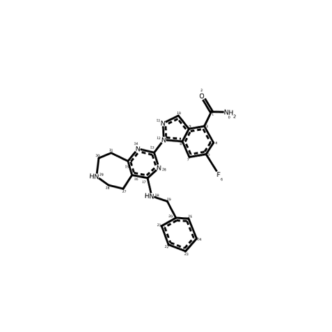 NC(=O)c1cc(F)cc2c1cnn2-c1nc2c(c(NCc3ccccc3)n1)CCNCC2